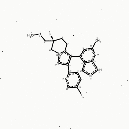 COC[C@]1(F)CCc2c(-c3cc(C)nc4[nH]ncc34)c(-c3ccc(F)cn3)nn2C1